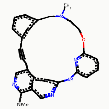 CNc1ncc2c3cc(ncc13)Nc1cccc(n1)OCCN(C)Cc1cccc(c1)C#C2